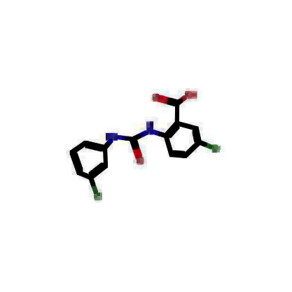 O=C(Nc1cccc(Cl)c1)Nc1ccc(Br)cc1C(=O)O